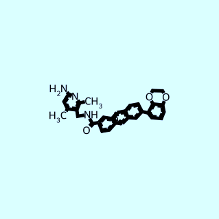 Cc1cc(N)nc(C)c1CNC(=O)c1ccc2c(c1)c1oc2c2cc(-c3cccc4c3OCCO4)ccc21